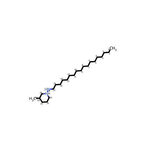 CCCCCCCCCCCCCCCCCCNN1CCCC(C)C1